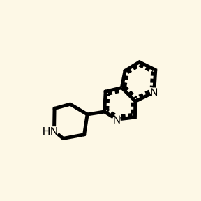 c1cnc2cnc(C3CCNCC3)cc2c1